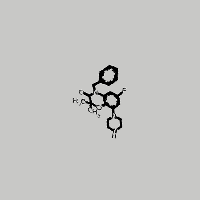 CC1(C)Oc2c(N3CCNCC3)cc(F)cc2N(Cc2ccccc2)C1=O